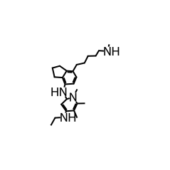 CCNC1=CC(Nc2ccc(CCCCCNC)c3c2CCC3)N(C)C(C)=C1C